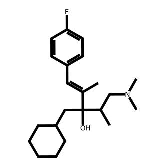 CC(=Cc1ccc(F)cc1)C(O)(CC1CCCCC1)C(C)CN(C)C